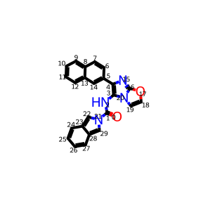 O=C(Nc1c(-c2ccc3ccccc3c2)nc2occn12)n1cc2ccccc2c1